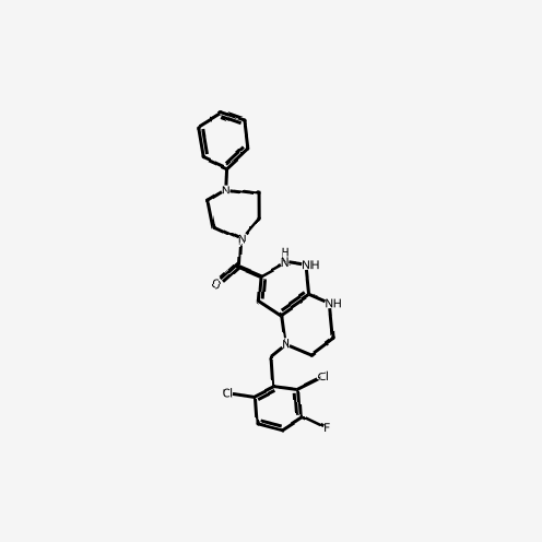 O=C(C1=CC2=C(NCCN2Cc2c(Cl)ccc(F)c2Cl)NN1)N1CCN(c2ccccc2)CC1